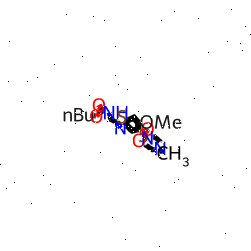 CCCCOC(=O)NCc1nc2cc(S(=O)(=O)N3CCN(C)CC3)c(OC)cc2s1